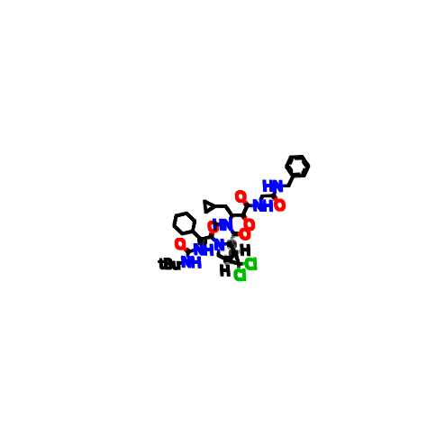 CC(C)(C)NC(=O)N[C@H](C(=O)N1C[C@H]2[C@@H]([C@H]1C(=O)NC(CC1CC1)C(=O)C(=O)NCC(=O)NCc1ccccc1)C2(Cl)Cl)C1CCCCC1